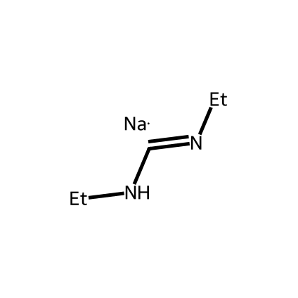 CCN=CNCC.[Na]